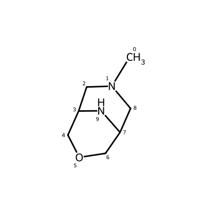 CN1CC2COCC(C1)N2